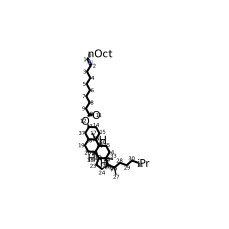 CCCCCCCC/C=C/CCCCCCCC(=O)OC1CC[C@@]2(C)C(CC[C@H]3[C@@H]4CC[C@H]([C@H](C)CCCC(C)C)[C@@]4(C)CC[C@@H]32)C1